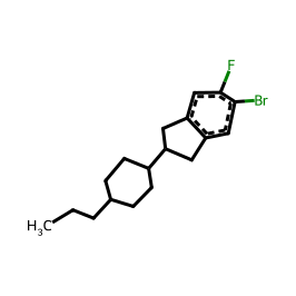 CCCC1CCC(C2Cc3cc(F)c(Br)cc3C2)CC1